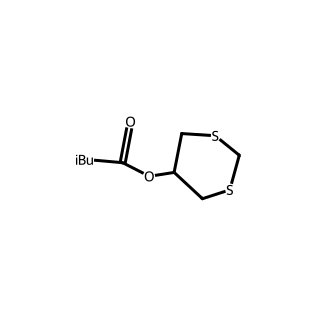 CCC(C)C(=O)OC1CSCSC1